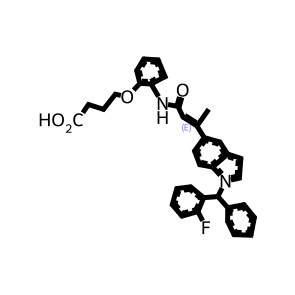 C/C(=C\C(=O)Nc1ccccc1OCCCC(=O)O)c1ccc2c(ccn2C(c2ccccc2)c2ccccc2F)c1